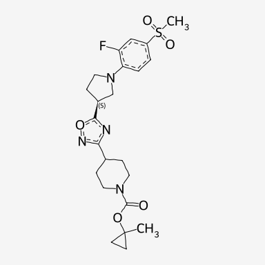 CC1(OC(=O)N2CCC(c3noc([C@H]4CCN(c5ccc(S(C)(=O)=O)cc5F)C4)n3)CC2)CC1